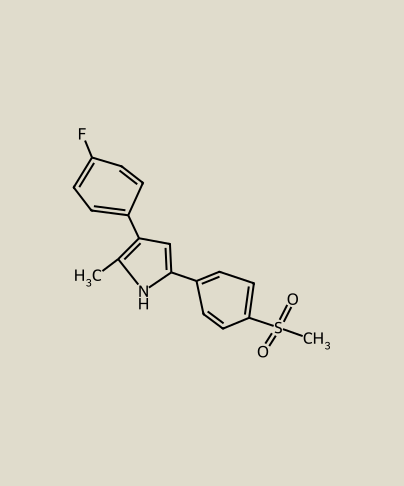 Cc1[nH]c(-c2ccc(S(C)(=O)=O)cc2)cc1-c1ccc(F)cc1